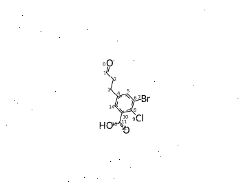 O=CCCc1cc(Br)c(Cl)c(C(=O)O)c1